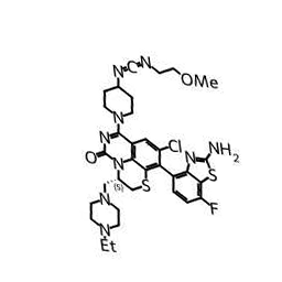 CCN1CCN(C[C@H]2CSc3c(-c4ccc(F)c5sc(N)nc45)c(Cl)cc4c(N5CCC(N=C=NCCOC)CC5)nc(=O)n2c34)CC1